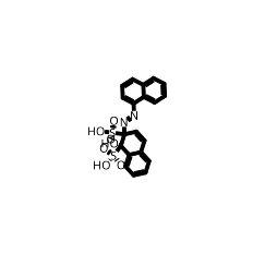 O=S(=O)(O)C1(/N=N/c2cccc3ccccc23)C=Cc2ccccc2C1(O)S(=O)(=O)O